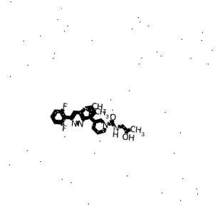 CC(O)CNC(=O)N1CCCC(C23CCC(c4cc(-c5c(F)cccc5F)nnc42)C3(C)C)C1